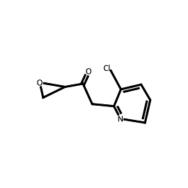 O=C(Cc1ncccc1Cl)C1CO1